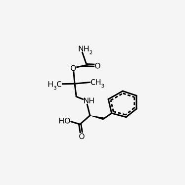 CC(C)(CN[C@@H](Cc1ccccc1)C(=O)O)OC(N)=O